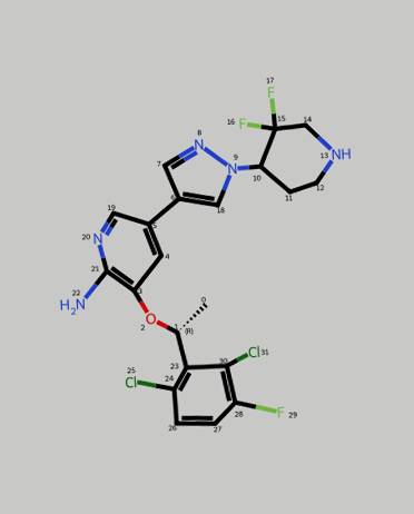 C[C@@H](Oc1cc(-c2cnn(C3CCNCC3(F)F)c2)cnc1N)c1c(Cl)ccc(F)c1Cl